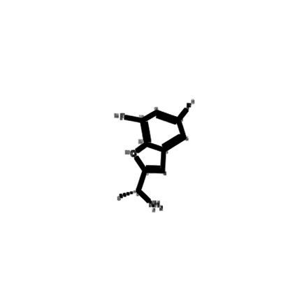 C[C@@H](N)c1cc2cc(F)cc(F)c2o1